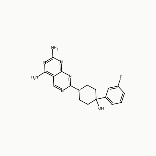 Nc1nc(N)c2cnc(N3CCC(O)(c4cccc(F)c4)CC3)nc2n1